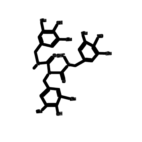 CN(Cc1cc(C(C)(C)C)c(O)c(C(C)(C)C)c1)C(=O)N(Cc1cc(C(C)(C)C)c(O)c(C(C)(C)C)c1)C(=O)N(C=O)Cc1cc(C(C)(C)C)c(N=O)c(C(C)(C)C)c1